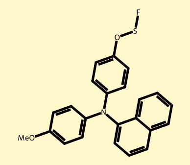 COc1ccc(N(c2ccc(OSF)cc2)c2cccc3ccccc23)cc1